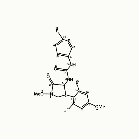 COc1cc(F)c(C2CN(OC)C(=O)C2NC(=O)Nc2ccc(F)cc2)c(F)c1